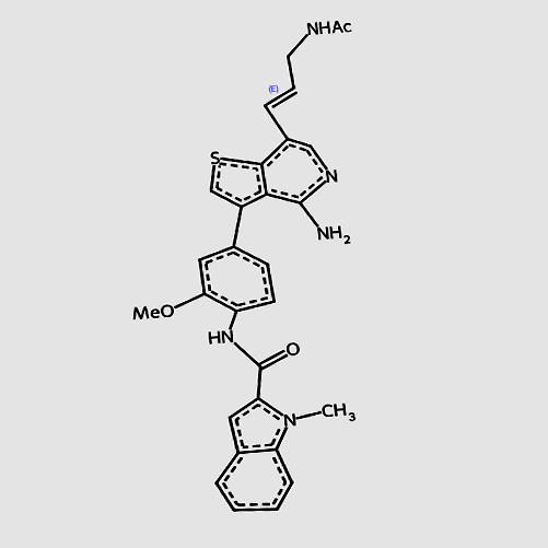 COc1cc(-c2csc3c(/C=C/CNC(C)=O)cnc(N)c23)ccc1NC(=O)c1cc2ccccc2n1C